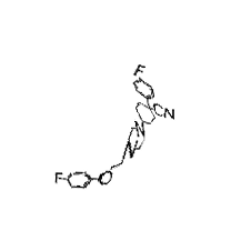 N#C[C@]1(c2ccc(F)cc2)CC[C@H](N2CCN(CCOc3ccc(F)cc3)CC2)CC1